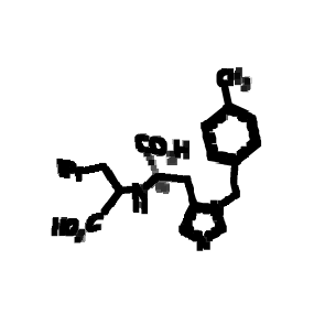 Cc1ccc(Cn2cncc2C[C@H](NC(CC(C)C)C(=O)O)C(=O)O)cc1